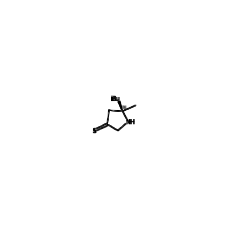 CCC(C)[C@]1(C)CC(=S)CN1